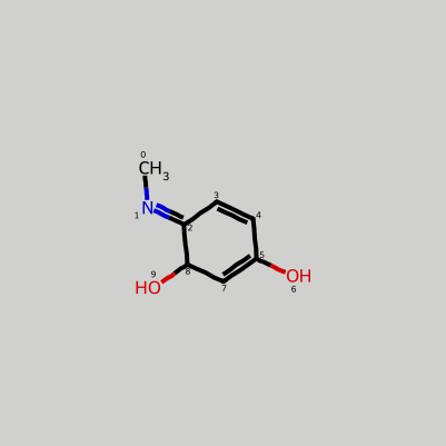 CN=C1C=CC(O)=CC1O